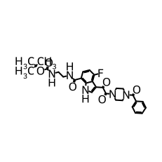 CC(C)(C)OC(=O)NCCNC(=O)c1ccc(F)c2c(C(=O)C(=O)N3CCN(C(=O)c4ccccc4)CC3)c[nH]c12